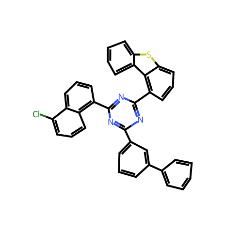 Clc1cccc2c(-c3nc(-c4cccc(-c5ccccc5)c4)nc(-c4cccc5sc6ccccc6c45)n3)cccc12